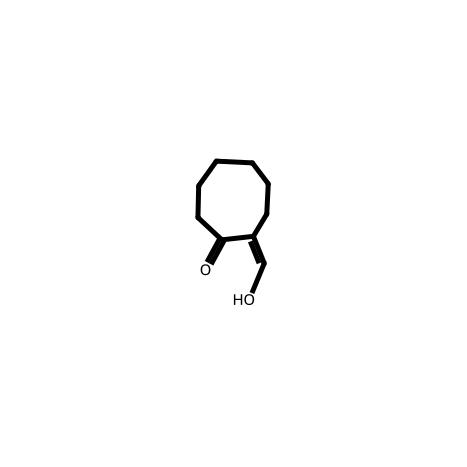 O=C1CCCCCCC1=CO